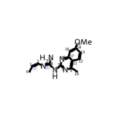 C/C=C\N=C(/N)Nc1nc(C)c2ccc(OC)cc2n1